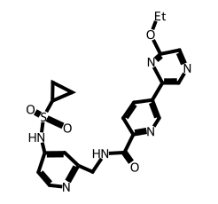 CCOc1cncc(-c2ccc(C(=O)NCc3cc(NS(=O)(=O)C4CC4)ccn3)nc2)n1